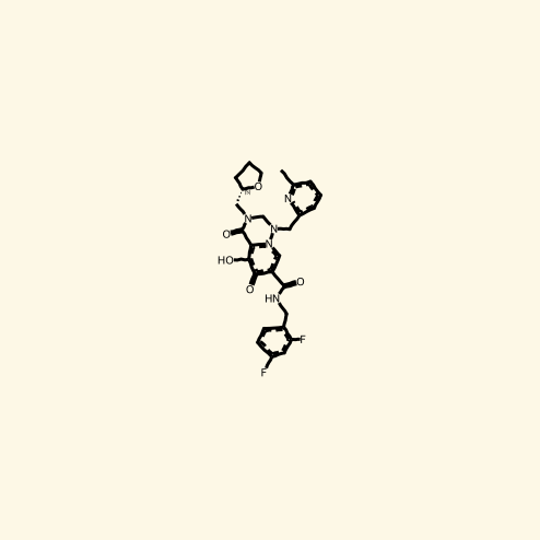 Cc1cccc(CN2CN(C[C@@H]3CCCO3)C(=O)c3c(O)c(=O)c(C(=O)NCc4ccc(F)cc4F)cn32)n1